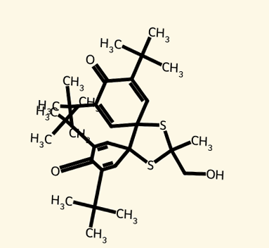 CC1(CO)SC2(C=C(C(C)(C)C)C(=O)C(C(C)(C)C)=C2)C2(C=C(C(C)(C)C)C(=O)C(C(C)(C)C)=C2)S1